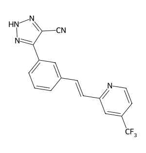 N#Cc1n[nH]nc1-c1cccc(/C=C/c2cc(C(F)(F)F)ccn2)c1